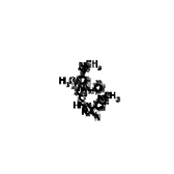 CCC[C@@H](CCCCNc1ncc(C#N)c(-c2ccc3cn(C)nc3c2)n1)N(C(=O)NCc1ccccc1)c1ccc(-c2cnn(C)c2)cn1